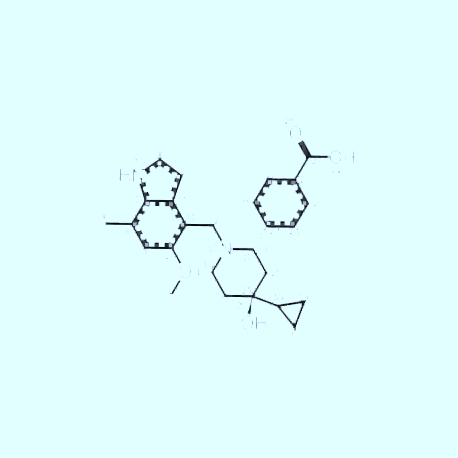 COc1cc(C)c2[nH]ccc2c1CN1CC[C@@](O)(C2CC2)C[C@H]1c1ccc(C(=O)O)cc1